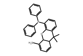 CC1(C)c2cccc(P(c3ccccc3)c3ccccc3)c2OC2C([SiH3])=CC=CC21